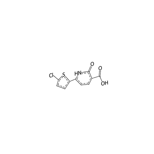 O=C(O)c1ccc(-c2ccc(Cl)s2)[nH]c1=O